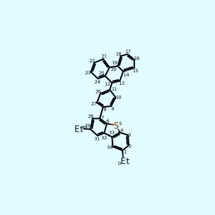 CCc1ccc2sc3c(-c4ccc(-c5cc6ccccc6c6ccccc56)cc4)cc(CC)cc3c2c1